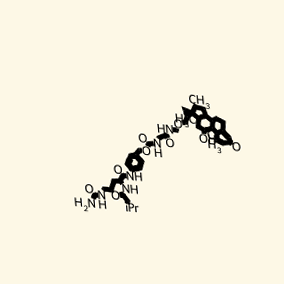 CC(C)CC(=O)NC(CCCNC(N)=O)C(=O)Nc1ccc(COC(=O)NCC(=O)NCOCC2=CC23[C@H](C)CC2C4CCC5=CC(=O)C=CC5(C)C4C(O)CC23C)cc1